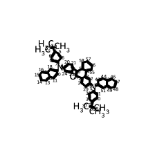 CC(C)(C)c1ccc(N(c2ccc3ccccc3c2)c2ccc3c(c2)oc2c4ccc(N(c5ccc(C(C)(C)C)cc5)c5ccc6ccccc6c5)cc4c4ccccc4c32)cc1